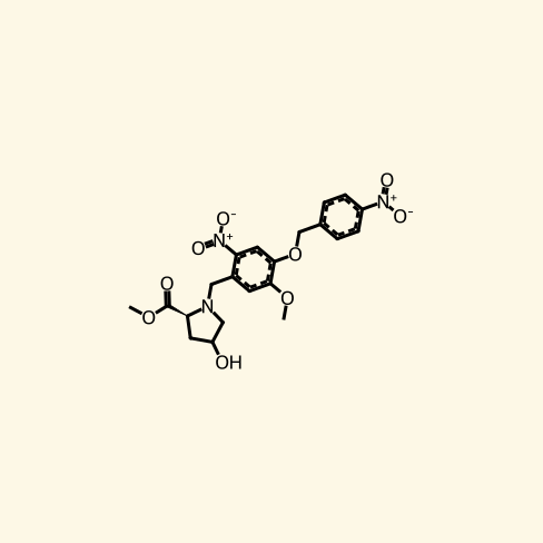 COC(=O)[C@@H]1CC(O)CN1Cc1cc(OC)c(OCc2ccc([N+](=O)[O-])cc2)cc1[N+](=O)[O-]